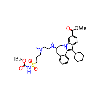 COC(=O)c1ccc2c(C3CCCCC3)c3n(c2c1)CC(N(C)CCN(C)CCCS(=O)(=O)NC(=O)OC(C)(C)C)Cc1ccccc1-3